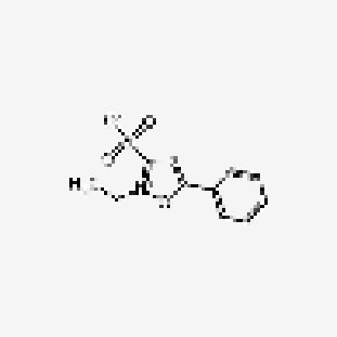 CC[n+]1oc(-c2ccccc2)cc1S(=O)(=O)[O-]